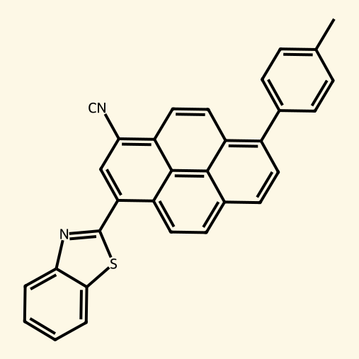 [C-]#[N+]c1cc(-c2nc3ccccc3s2)c2ccc3ccc(-c4ccc(C)cc4)c4ccc1c2c34